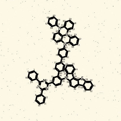 c1ccc(-c2nc(-c3ccccc3)nc(-c3ccc(-n4c5ccccc5c5c6sc7ccccc7c6ccc54)c(-c4ccc(-c5ccc(N6c7ccccc7B7c8ccccc8N(c8ccccc8)c8cccc6c87)cc5)cc4)c3)n2)cc1